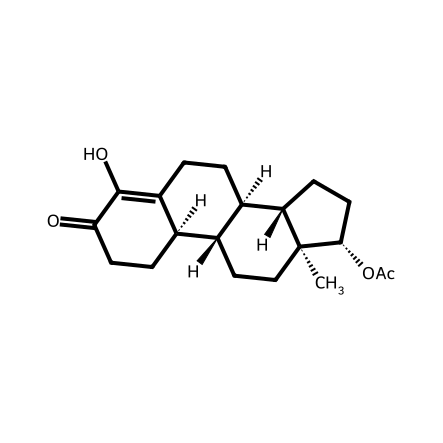 CC(=O)O[C@H]1CC[C@H]2[C@@H]3CCC4=C(O)C(=O)CC[C@@H]4[C@H]3CC[C@]12C